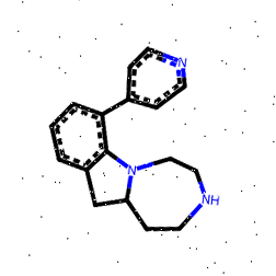 c1cc2c(c(-c3ccncc3)c1)N1CCNCCC1C2